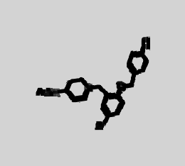 CC(=O)NC1CCN(Cc2cc(Br)ccc2OCc2ccc(Cl)cc2)CC1